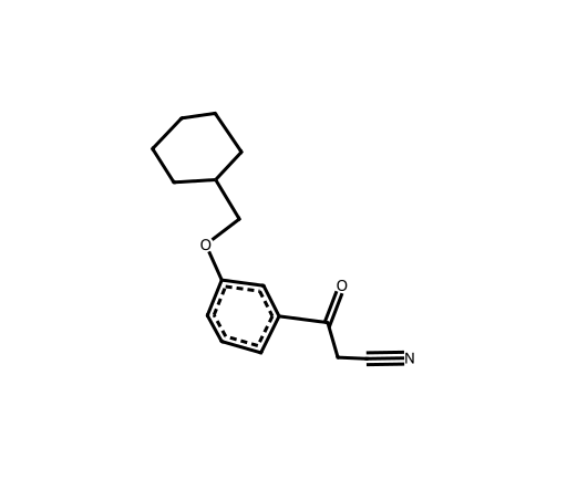 N#CCC(=O)c1cccc(OCC2CCCCC2)c1